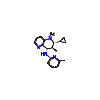 CC(=O)N1c2cccnc2[C@@H](Nc2cccc(C)n2)[C@H](C)[C@H]1C1CC1